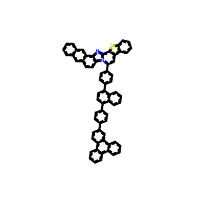 c1ccc2cc3c(ccc4c3nc3c5sc6ccccc6c5cc(-c5ccc(-c6ccc(-c7ccc(-c8ccc9c%10ccccc%10c%10ccccc%10c9c8)cc7)c7ccccc67)cc5)n43)cc2c1